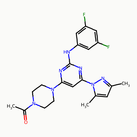 CC(=O)N1CCN(c2cc(-n3nc(C)cc3C)nc(Nc3cc(F)cc(F)c3)n2)CC1